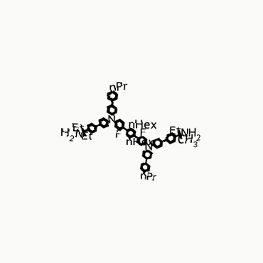 CCCCCCc1cc(-c2ccc(N(c3ccc(-c4ccc(CCC)cc4)cc3)c3ccc(-c4ccc(C(N)(CC)CC)cc4)cc3)cc2F)c(CCCCCC)cc1-c1ccc(N(c2ccc(-c3ccc(CCC)cc3)cc2)c2ccc(-c3ccc(C(C)(N)CC)cc3)cc2)cc1F